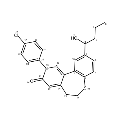 CCCC(O)c1ccc2c(c1)-c1nn(-c3ccc(Cl)cc3)c(=O)cc1CCS2